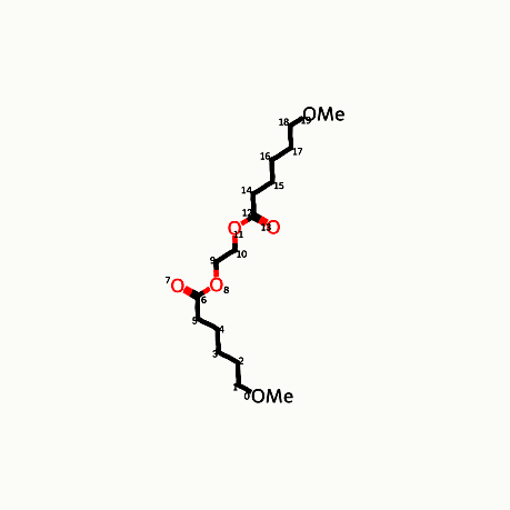 COCCCCCC(=O)OCCOC(=O)CCCCCOC